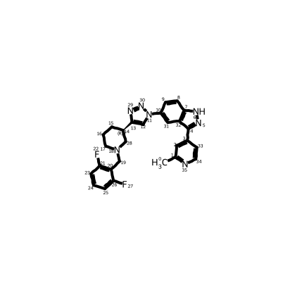 Cc1cc(-c2n[nH]c3ccc(-n4cc([C@@H]5CCCN(Cc6c(F)cccc6F)C5)nn4)cc23)ccn1